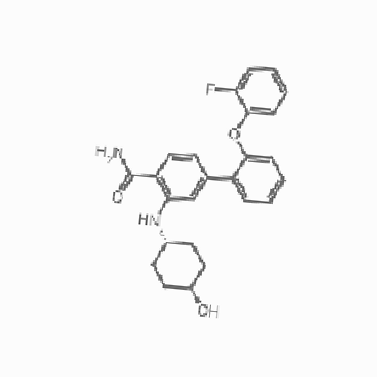 NC(=O)c1ccc(-c2ccccc2Oc2ccccc2F)cc1N[C@H]1CC[C@H](O)CC1